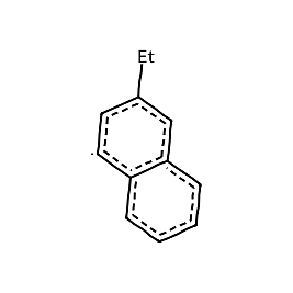 CCc1c[c]c2ccccc2c1